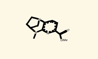 COC(=O)c1ccc2c(n1)N(C)C1CCN2C1